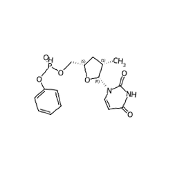 C[C@H]1C[C@@H](CO[PH](=O)Oc2ccccc2)O[C@H]1n1ccc(=O)[nH]c1=O